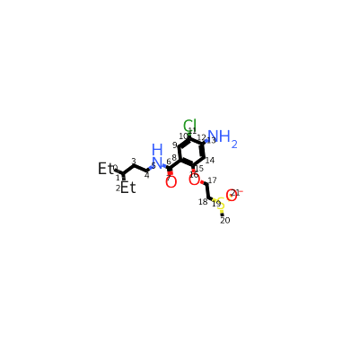 CCC(CC)CCNC(=O)c1cc(Cl)c(N)cc1OCC[S+](C)[O-]